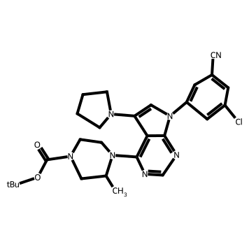 CC1CN(C(=O)OC(C)(C)C)CCN1c1ncnc2c1c(N1CCCC1)cn2-c1cc(Cl)cc(C#N)c1